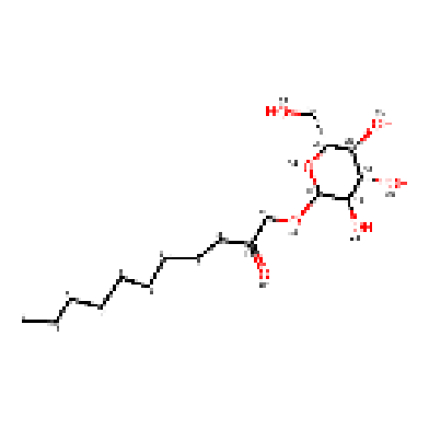 CCCCCCCCCC(=O)COC1O[C@H](CO)[C@@H](O)[C@H](O)[C@H]1O